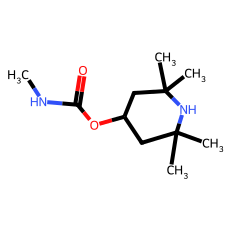 CNC(=O)OC1CC(C)(C)NC(C)(C)C1